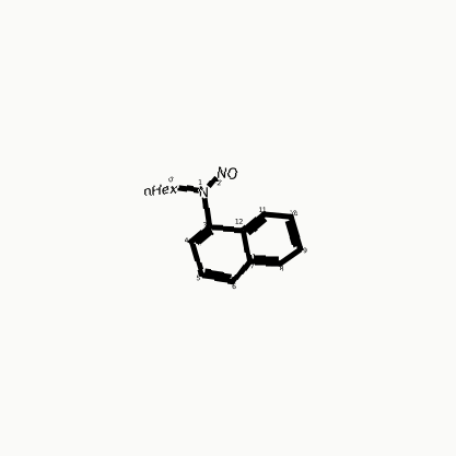 CCCCCCN(N=O)c1cccc2ccccc12